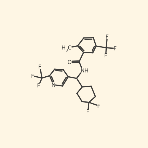 Cc1ccc(C(F)(F)F)cc1C(=O)NC(c1ccc(C(F)(F)F)nc1)C1CCC(F)(F)CC1